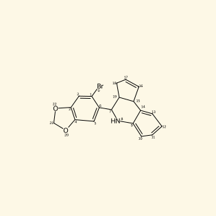 Brc1cc2c(cc1C1Nc3ccccc3C3C=CCC31)OCO2